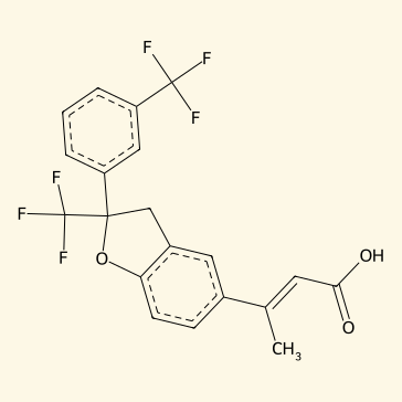 CC(=CC(=O)O)c1ccc2c(c1)CC(c1cccc(C(F)(F)F)c1)(C(F)(F)F)O2